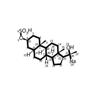 C[C@]12CC[C@H](OS(=O)(=O)O)C[C@@H]1CC[C@@H]1[C@@H]2CC[C@@]2(C)[C@H]1CC[C@@H]2[C@](C)(O)[Na]